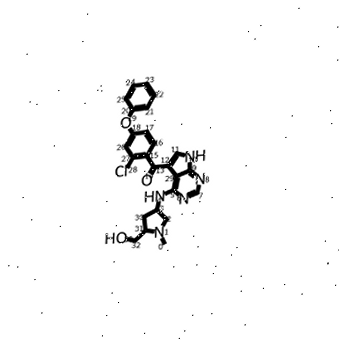 CN1CC(Nc2ncnc3[nH]cc(C(=O)c4ccc(Oc5ccccc5)cc4Cl)c23)CC1CO